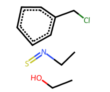 CCN=S.CCO.ClCc1ccccc1